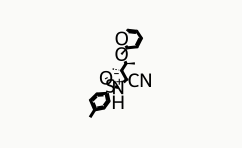 Cc1ccc([S+]([O-])N[C@H](C#N)[C@H](C)[C@H](C)O[C@@H]2C=CC=CO2)cc1